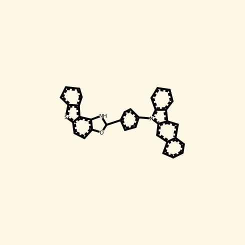 c1ccc2cc3c(cc2c1)c1ccccc1n3-c1ccc(C2Nc3c(ccc4sc5ccccc5c34)O2)cc1